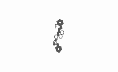 CN(CCOC(=O)CC(=O)C=Cc1ccccc1F)Cc1ccccc1